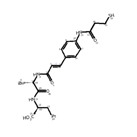 CCC(C)[C@H](NC(=O)/C=C/c1ccc(NC(=O)CCS)cc1)C(=O)N[C@@H](CC(C)C)C(=O)O